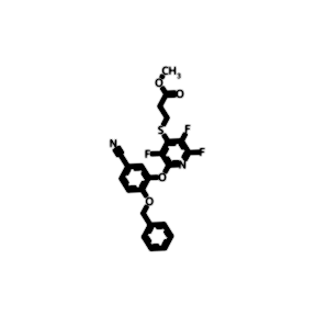 COC(=O)CCSc1c(F)c(F)nc(Oc2cc(C#N)ccc2OCc2ccccc2)c1F